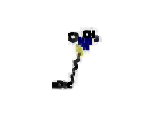 CCCCCCCCCCCCCCCCCCSSc1nnc(C)n1-c1ccccc1